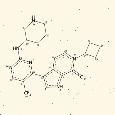 O=c1c2[nH]cc(-c3nc(NC4CCCNC4)ncc3C(F)(F)F)c2ccn1C1CCC1